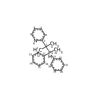 CC(C)(c1ccccn1)[PH](C)(c1ccccc1)c1ccccc1